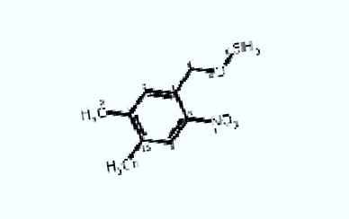 Cc1cc(CO[SiH3])c([N+](=O)[O-])cc1C